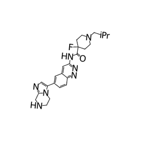 CC(C)CN1CCC(F)(C(=O)Nc2cc3cc(-c4cnc5n4CCNC5)ccc3nn2)CC1